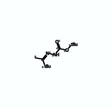 C/C(=N/NC(=O)OC(C)(C)C)C(C)(C)C